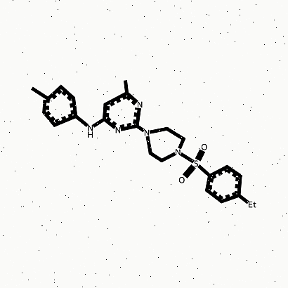 CCc1ccc(S(=O)(=O)N2CCN(c3nc(C)cc(Nc4ccc(C)cc4)n3)CC2)cc1